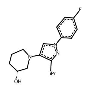 CC(C)c1nn(-c2ccc(F)cc2)cc1N1CCC[C@@H](O)C1